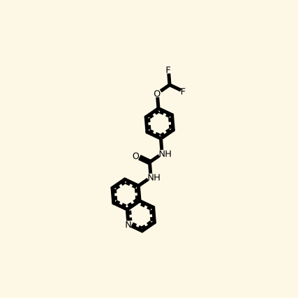 O=C(Nc1ccc(OC(F)F)cc1)Nc1cccc2ncccc12